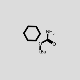 C1CCCCC1.CC(C)(C)OC(N)=O